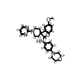 COc1cccc(C2(C(=O)Nc3ccc(N4CCOCC4)cc3)CCN(c3ncccn3)CC2)c1